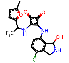 Cc1ccc(C(Nc2c(Nc3ccc(Cl)c4c3C(O)NC4)c(=O)c2=O)C(F)(F)F)o1